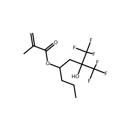 C=C(C)C(=O)OC(CCC)CC(O)(C(F)(F)F)C(F)(F)F